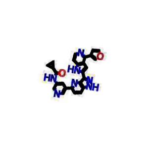 O=C(Nc1cncc(-c2ccc3[nH]nc(-c4cc5c(-c6ccoc6)nccc5[nH]4)c3n2)c1)C1CC1